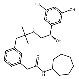 CC(C)(Cc1cccc(CC(=O)NC2CCCCCC2)c1)NC[C@H](O)c1cc(O)cc(O)c1